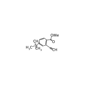 C#Cc1cc([Si](C)(C)C)ccc1C(=O)OC